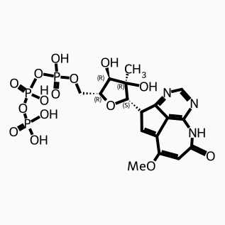 COC1=CC(=O)Nc2ncnc3c2C1=CC3[C@@H]1O[C@H](COP(=O)(O)OP(=O)(O)OP(=O)(O)O)[C@@H](O)[C@@]1(C)O